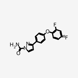 NC(=O)n1ccc(-c2ccc(Oc3ccc([18F])cc3F)cc2)n1